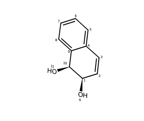 O[C@@H]1C=Cc2ccccc2[C@@H]1O